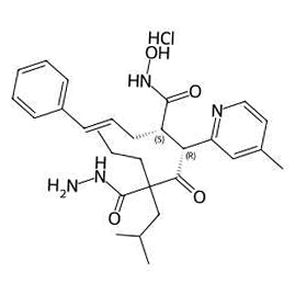 CCCC(CC(C)C)(C(=O)NN)C(=O)[C@@H](c1cc(C)ccn1)[C@H](CC=Cc1ccccc1)C(=O)NO.Cl